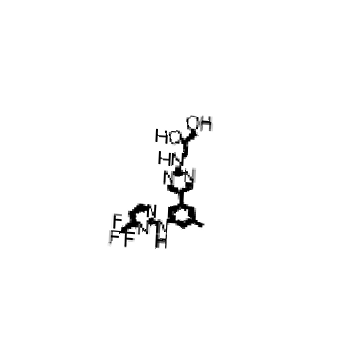 Cc1cc(Nc2nccc(C(F)(F)F)n2)cc(-c2cnc(NCC(O)CO)nc2)c1